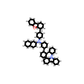 c1cc(-c2ccccc2-c2ccccc2-n2c3ccccc3c3ccccc32)cc(N(c2ccc(-c3cccc4c3oc3ccccc34)cc2)c2ccc3ccccc3c2)c1